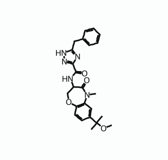 COC(C)(C)c1ccc2c(c1)N(C)C(=O)C(NC(=O)c1n[nH]c(Cc3ccccc3)n1)CO2